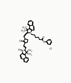 CC[N+]1=C(/C=C/C2=C(Cl)C(C=C=C3N(CCCCCC(=O)Oc4ccccc4)c4ccc5ccccc5c4C3(C)C)CC2)C(C)(C)c2c1ccc1ccccc21.[Cl-]